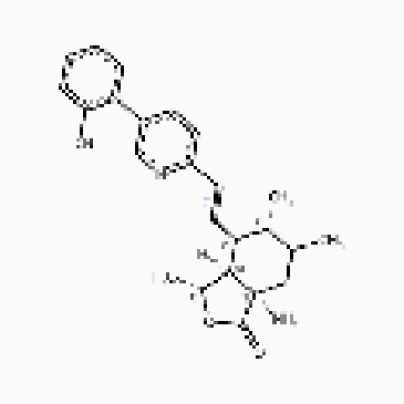 CC1C[C@@]2(N)C(=O)O[C@H](C)[C@H]2[C@@H](/C=C/c2ccc(-c3ccccc3C#N)cn2)[C@@H]1C